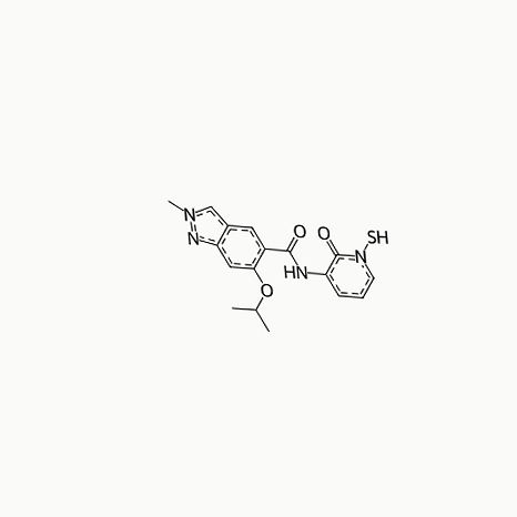 CC(C)Oc1cc2nn(C)cc2cc1C(=O)Nc1cccn(S)c1=O